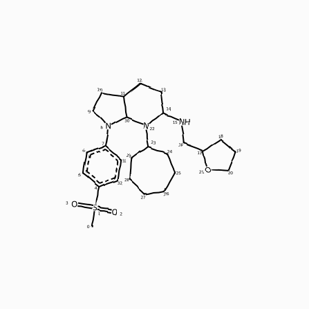 CS(=O)(=O)c1ccc(N2CCC3CCC(NCC4CCCO4)N(C4CCCCCC4)C32)cc1